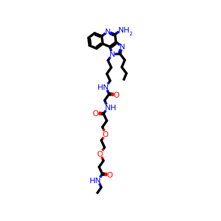 CCCCc1nc2c(N)nc3ccccc3c2n1CCCCNC(=O)CNC(=O)CCOCCOCCC(=O)NCC